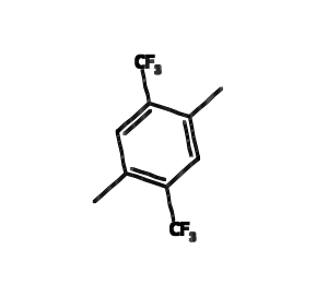 Cc1cc(C(F)(F)F)c(C)cc1C(F)(F)F